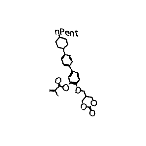 C=C(C)C(=O)Oc1cc(-c2ccc(C3CCC(CCCCC)CC3)cc2)ccc1OCC1COC(=O)OC1